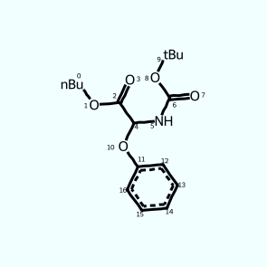 CCCCOC(=O)C(NC(=O)OC(C)(C)C)Oc1ccccc1